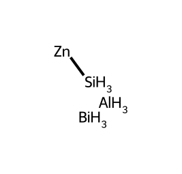 [AlH3].[BiH3].[SiH3][Zn]